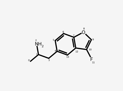 CC(N)Cc1ccc2occ(F)c2c1